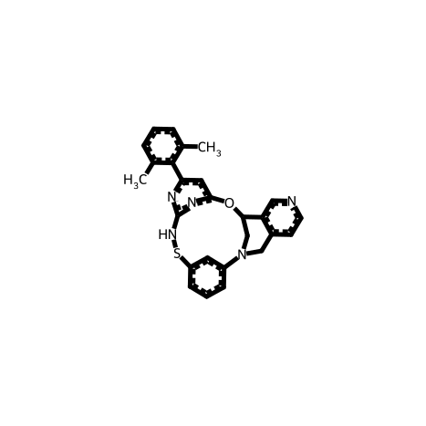 Cc1cccc(C)c1-c1cc2nc(n1)NSc1cccc(c1)N1Cc3ccncc3C(C1)O2